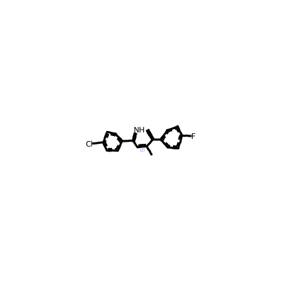 C=C(/C(C)=C\C(=N)c1ccc(Cl)cc1)c1ccc(F)cc1